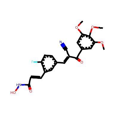 COc1cc(C(=O)C(C#N)=Cc2ccc(F)c(/C=C/C(=O)NO)c2)cc(OC)c1OC